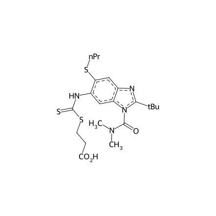 CCCSc1cc2nc(C(C)(C)C)n(C(=O)N(C)C)c2cc1NC(=S)SCCC(=O)O